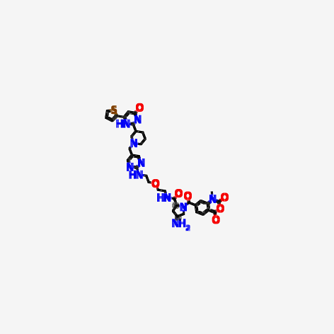 Cn1c(=O)oc(=O)c2ccc(C(=O)N3C[C@@H](N)C[C@H]3C(=O)NCCOCCNc3ncc(CN4CCCC(c5nc(=O)cc(-c6cccs6)[nH]5)C4)cn3)cc21